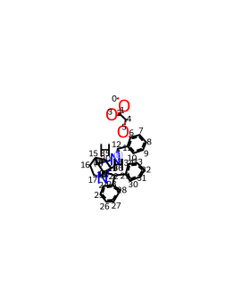 COC(=O)COc1ccccc1/C=N/[C@@H]1C2CCN(CC2)[C@H]1C(c1ccccc1)c1ccccc1